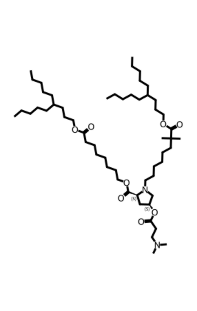 CCCCCC(CCCCC)CCCOC(=O)CCCCCCCOC(=O)[C@@H]1C[C@H](OC(=O)CCN(C)C)CN1CCCCCCC(C)(C)C(=O)OCCCC(CCCCC)CCCCC